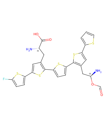 N[C@H](Cc1cc(-c2cccs2)sc1-c1ccc(-c2sc(-c3ccc(F)s3)cc2C[C@H](N)C(=O)O)s1)OC=O